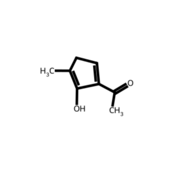 CC(=O)C1=CCC(C)=C1O